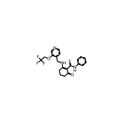 O=C1CCCC(NCc2ccncc2OCC(F)(F)F)=C1C(=S)Nc1ccccc1